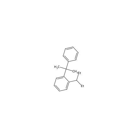 CCC(CC)c1ccccc1C(C)(C)c1[c]cccc1